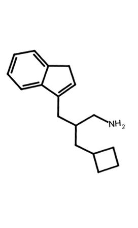 NCC(CC1=CCc2ccccc21)CC1CCC1